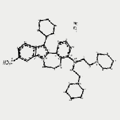 Cl.Cl.O=C(O)c1ccc2c(C3CCCCC3)c3n(c2c1)CCOc1c-3cccc1N(CCN1CCCCC1)CCN1CCCCC1